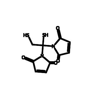 O=C1C=CC(=O)N1C(S)(CS)N1C(=O)C=CC1=O